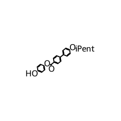 CCC[C@H](C)Oc1ccc(-c2ccc(C(=O)Oc3ccc(O)cc3)cc2)cc1